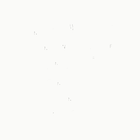 CN(C)c1cc(Nc2cc(F)c(F)c(F)c2)nc(N2CCN(c3ccccn3)CC2)n1